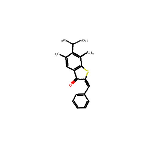 CCCCCCCCC(CCC)c1c(C)cc2c(c1C)SC(=Cc1ccccc1)C2=O